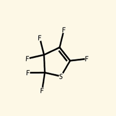 FC1=C(F)C(F)(F)C(F)(F)S1